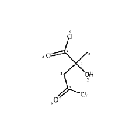 CC(O)(CC(=O)Cl)C(=O)Cl